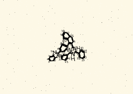 CN1c2ccccc2NC1c1ccc(-c2c(C3NC(c4ccccc4)NC(c4ccccc4)N3)ccc3ccccc23)cc1